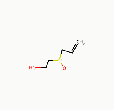 C=CC[S+]([O-])CCO